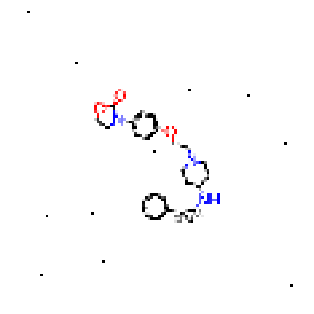 O=C1OCCN1c1ccc(OCCN2CCC(N[C@@H]3C[C@H]3c3ccccc3)CC2)cc1